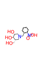 O=[N+](O)c1ccccc1CN1C[C@H](CO)[C@@H](O)[C@H](O)C1